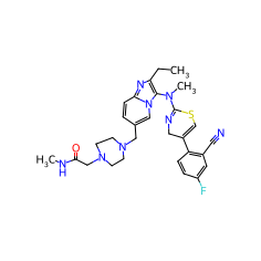 CCc1nc2ccc(CN3CCN(CC(=O)NC)CC3)cn2c1N(C)C1=NCC(c2ccc(F)cc2C#N)=CS1